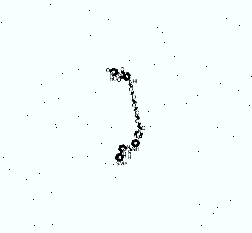 CSc1ccc(-c2ccc/c(=N/C(=N)Nc3ccc(N4CCN(C(=O)CCOCCOCCOCCOCCOCCNc5ccc6c(c5)C(=O)N(C5CCC(=O)NC5=O)C6=O)CC4)cc3)[nH]2)cc1